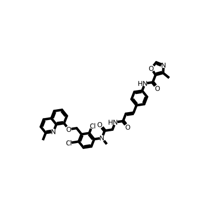 Cc1ccc2cccc(OCc3c(Cl)ccc(N(C)C(=O)CNC(=O)C=Cc4ccc(NC(=O)c5ocnc5C)cc4)c3Cl)c2n1